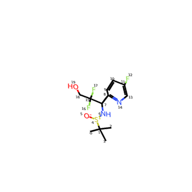 CC(C)(C)[S+]([O-])NC(c1ccc(F)cn1)C(F)(F)CO